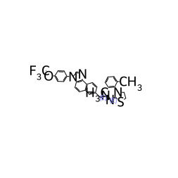 Cc1cccc(C)c1N1CCS/C1=N/N=C/c1ccc2c(ccc3c2ncn3-c2ccc(OC(F)(F)F)cc2)c1